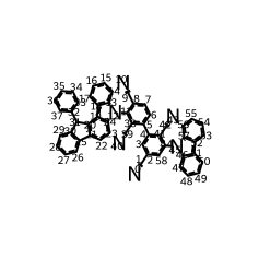 N#Cc1cc(-c2ccc(C#N)c(-n3c4ccccc4c4c5c(ccc43)-c3ccccc3C5c3ccccc3)c2C#N)c(C#N)c(-n2c3ccccc3c3ccccc32)c1